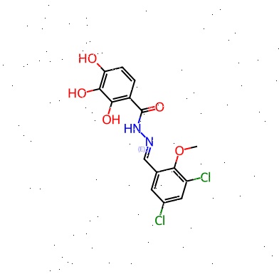 COc1c(Cl)cc(Cl)cc1/C=N/NC(=O)c1ccc(O)c(O)c1O